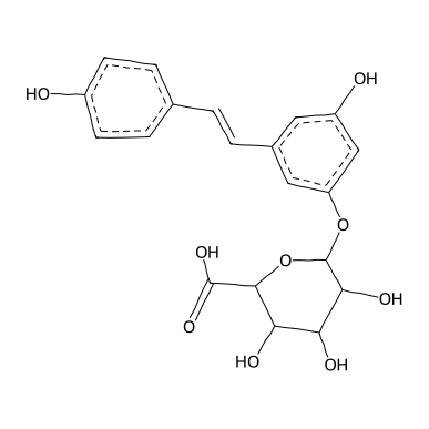 O=C(O)C1OC(Oc2cc(O)cc(/C=C/c3ccc(O)cc3)c2)C(O)C(O)C1O